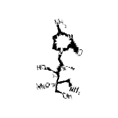 CO[C@](CN)(CO)[C@@H](O)[C@@H](F)n1ccc(N)nc1=O